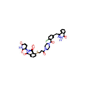 O=C1CCC(N2C(=O)c3cccc(SCCC(=O)N4CCN(C(=O)c5cc(Cc6n[nH]c(=O)c7ccccc67)ccc5F)CC4)c3C2=O)C(=O)N1